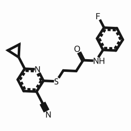 N#Cc1ccc(C2CC2)nc1SCCC(=O)Nc1cccc(F)c1